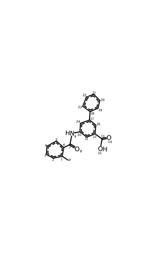 Cc1ccccc1C(=O)Nc1cc(C(=O)O)cc(-c2ccccc2)c1